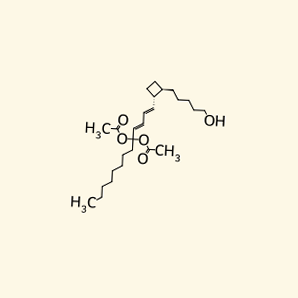 CCCCCCCCC(/C=C/C=C/[C@@H]1CC[C@H]1CCCCCO)(OC(C)=O)OC(C)=O